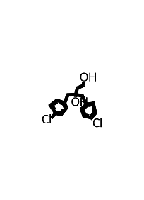 OCCC(O)(Cc1ccc(Cl)cc1)Cc1ccc(Cl)cc1